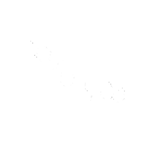 CN(C)c1ccc(S(=O)(=O)c2ccc(CNC(=O)c3cnc4nccn4c3)cc2)cn1